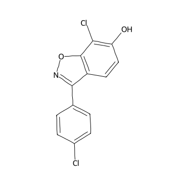 Oc1ccc2c(-c3ccc(Cl)cc3)noc2c1Cl